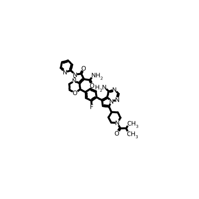 CC(C)C(=O)N1CCC(c2cc(-c3ccc(C4OCCn5c4c(C(N)=O)c(=O)n5-c4ccccn4)cc3F)c3c(N)ncnn23)CC1